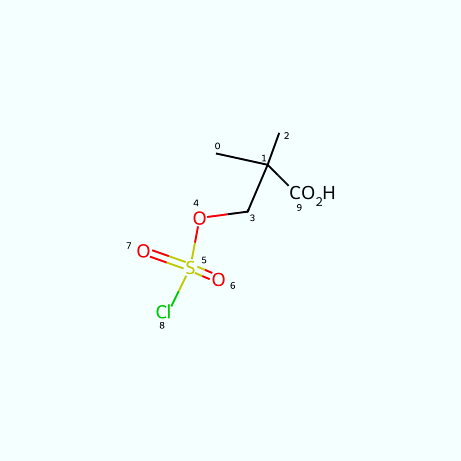 CC(C)(COS(=O)(=O)Cl)C(=O)O